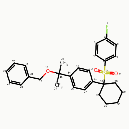 O=S(=O)(c1ccc(F)cc1)C1(c2ccc(C(OCc3ccccc3)(C(F)(F)F)C(F)(F)F)cc2)CCCCC1